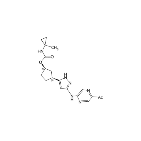 CC(=O)c1cnc(Nc2cc([C@H]3CC[C@@H](OC(=O)NC4(C)CC4)C3)[nH]n2)cn1